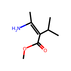 COC(=O)C(=C(C)N)C(C)C